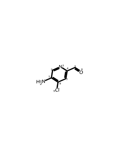 Nc1cnc(C=O)cc1Cl